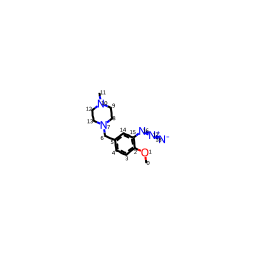 COc1ccc(CN2CCN(C)CC2)cc1N=[N+]=[N-]